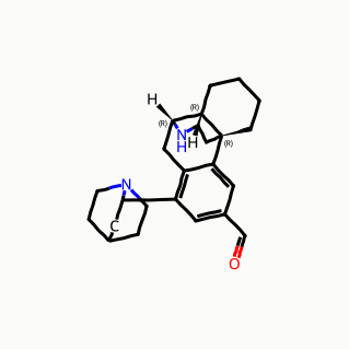 O=Cc1cc(C2CC3CCN2CC3)c2c(c1)[C@@]13CCCC[C@H]1[C@@H](C2)NCC3